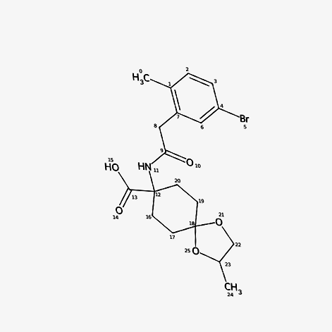 Cc1ccc(Br)cc1CC(=O)NC1(C(=O)O)CCC2(CC1)OCC(C)O2